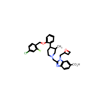 CC1CN(Cc2nc3ccc(C(=O)O)cc3n2CC2CCO2)CCC1c1ccccc1OCc1ccc(Cl)cc1F